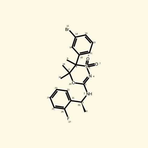 C[C@H](NC1=NS(=O)(=O)C(C)(c2cccc(Br)c2)C(C)(C)O1)c1ccccc1F